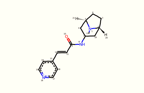 CN1[C@@H]2CC[C@@H]1CC(NC(=O)C=Cc1ccncc1)C2